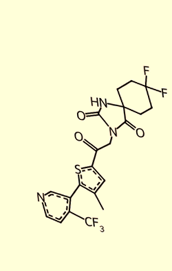 Cc1cc(C(=O)CN2C(=O)NC3(CCC(F)(F)CC3)C2=O)sc1-c1cnccc1C(F)(F)F